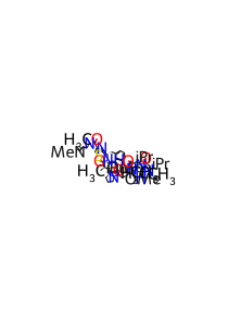 CC[C@H](C)[C@@H]([C@@H](CC(=O)N1CCC[C@H]1[C@H](OC)[C@@H](C)C(=O)N[C@@H](Cc1ccccc1)c1nc(C(=O)N(C)CCNC)cs1)OC)N(C)C(=O)[C@@H](NC(=O)[C@H](C(C)C)N(C)C)C(C)C